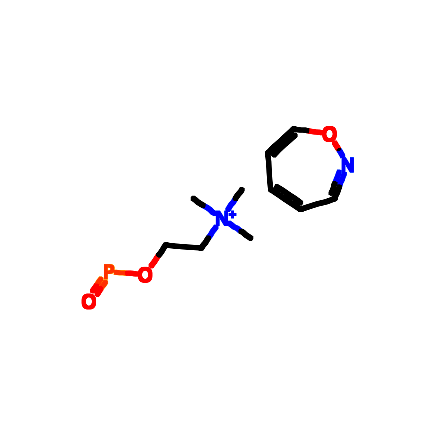 C1=CC=NOC=C1.C[N+](C)(C)CCOP=O